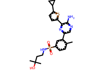 Cc1ccc(S(=O)(=O)NCCC(C)(C)O)cc1-c1cnc(N)c(-c2ccc(C3CC3)s2)n1